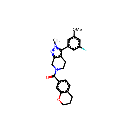 COc1cc(F)cc(-c2c3c(nn2C)CN(C(=O)c2ccc4c(c2)OCCC4)CC3)c1